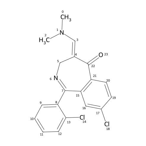 CN(C)/C=C1\CN=C(c2ccccc2Cl)c2cc(Cl)ccc2C1=O